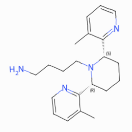 Cc1cccnc1[C@H]1CCC[C@@H](c2ncccc2C)N1CCCCN